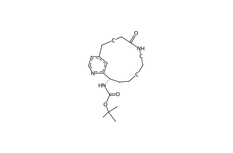 CC(C)(C)OC(=O)N[C@H]1CCCCCNC(=O)CCCc2ccnc1c2